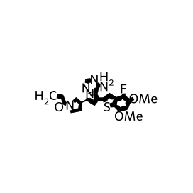 C=CC(=O)N1CC[C@H](c2cc(-c3cc4c(F)c(OC)cc(OC)c4s3)c3c(N)ncnn23)C1